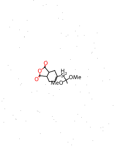 COC(C)(OC)[SiH2]C1=CCC2C(=O)OC(=O)C2C1